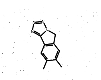 Cc1cc2c(cc1C)-c1nnnn1C2